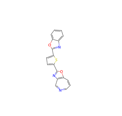 C1=Cc2oc(-c3ccc(-c4nc5ccccc5o4)s3)nc2C=[N+]=C1